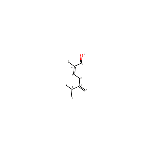 C=C(CC=C(C)C=O)C(C)C